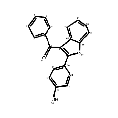 O=C(c1ccccc1)c1c(-c2ccc(O)cc2)sc2ccccc12